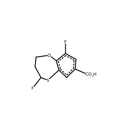 O=C(O)c1cc(F)c2c(c1)SC(F)CCO2